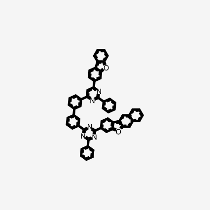 c1ccc(-c2nc(-c3cccc(-c4cccc(-c5nc(-c6ccccc6)nc(-c6ccc7c(c6)oc6cc8ccccc8cc67)n5)c4)c3)cc(-c3ccc4c(c3)oc3ccccc34)n2)cc1